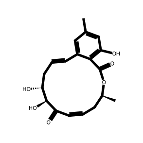 Cc1cc(O)c2c(c1)/C=C/C[C@@H](O)[C@H](O)C(=O)/C=C\C[C@H](C)OC2=O